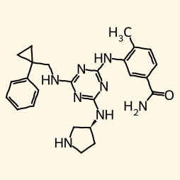 Cc1ccc(C(N)=O)cc1Nc1nc(NCC2(c3ccccc3)CC2)nc(N[C@H]2CCNC2)n1